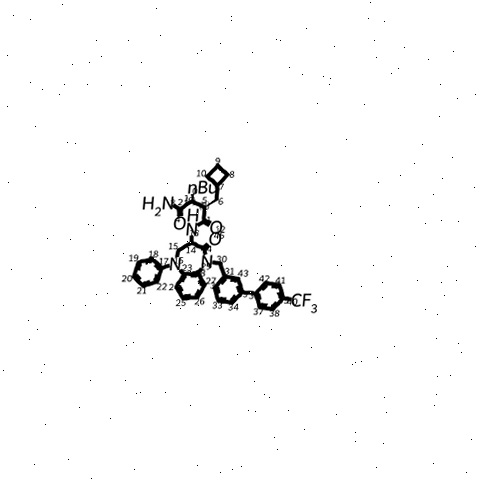 CCCC[C@H](C(N)=O)[C@@H](CC1CCC1)C(=O)NC1CN(c2ccccc2)c2ccccc2N(Cc2cccc(-c3ccc(C(F)(F)F)cc3)c2)C1=O